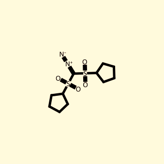 [N-]=[N+]=C(S(=O)(=O)C1CCCC1)S(=O)(=O)C1CCCC1